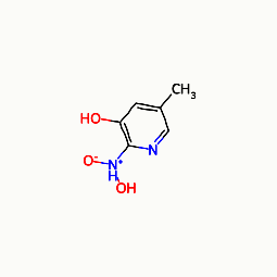 Cc1cnc([NH+]([O-])O)c(O)c1